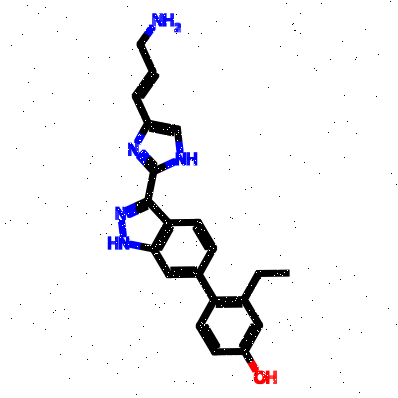 CCc1cc(O)ccc1-c1ccc2c(-c3nc(C=CCN)c[nH]3)n[nH]c2c1